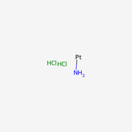 Cl.Cl.[NH2][Pt]